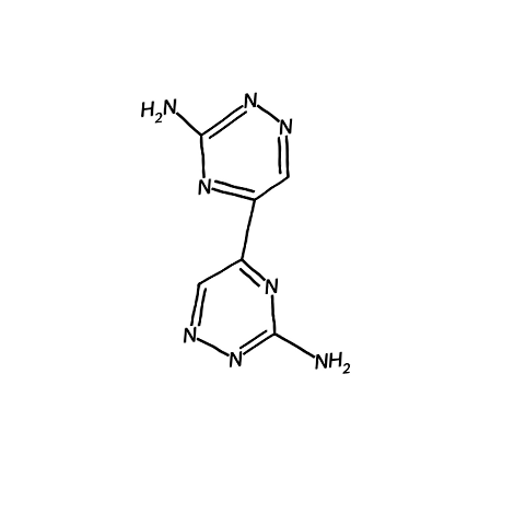 Nc1nncc(-c2cnnc(N)n2)n1